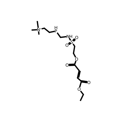 CCOC(=O)/C=C/C(=O)OCCS(=O)(=O)NCPCC[N+](C)(C)C